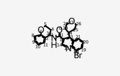 O=C(N[C@H]1CCOc2ccccc21)c1cnc2c(Br)cccc2c1C1CCOCC1